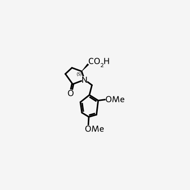 COc1ccc(CN2C(=O)CC[C@H]2C(=O)O)c(OC)c1